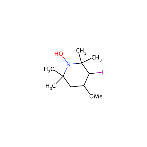 COC1CC(C)(C)N(O)C(C)(C)C1I